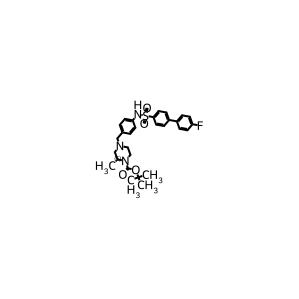 C[C@H]1CN(Cc2ccc(NS(=O)(=O)c3ccc(-c4ccc(F)cc4)cc3)cc2)CCN1C(=O)OC(C)(C)C